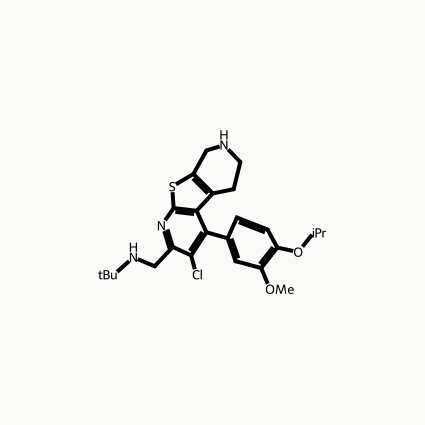 COc1cc(-c2c(Cl)c(CNC(C)(C)C)nc3sc4c(c23)CCNC4)ccc1OC(C)C